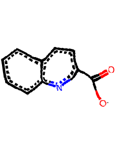 [O]C(=O)c1ccc2ccccc2n1